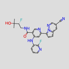 CC(C)(O)[C@H](F)CNC(=O)c1cnc(-c2ccc3cc(C#N)cnn23)cc1Nc1cccnc1F